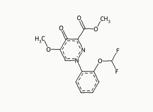 COC(=O)c1nn(-c2ccccc2OC(F)F)cc(OC)c1=O